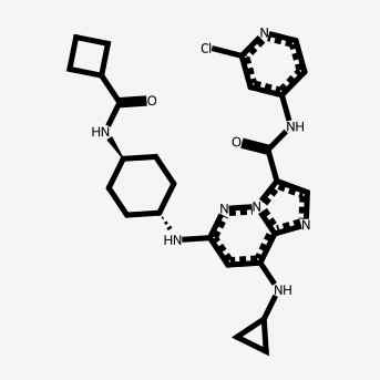 O=C(Nc1ccnc(Cl)c1)c1cnc2c(NC3CC3)cc(N[C@H]3CC[C@H](NC(=O)C4CCC4)CC3)nn12